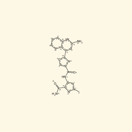 Cn1cc(NC(=O)c2coc(-c3cc(N)nc4ccccc34)n2)c(C(N)=O)n1